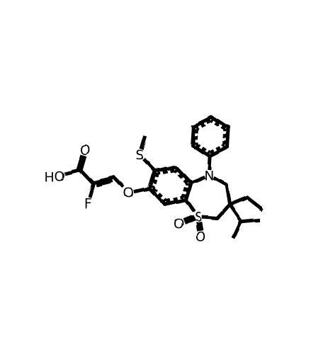 CCC1(C(C)C)CN(c2ccccc2)c2cc(SC)c(O/C=C(\F)C(=O)O)cc2S(=O)(=O)C1